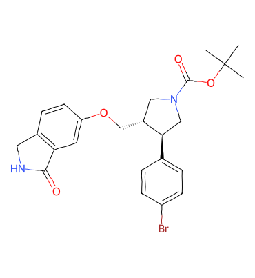 CC(C)(C)OC(=O)N1C[C@@H](COc2ccc3c(c2)C(=O)NC3)[C@H](c2ccc(Br)cc2)C1